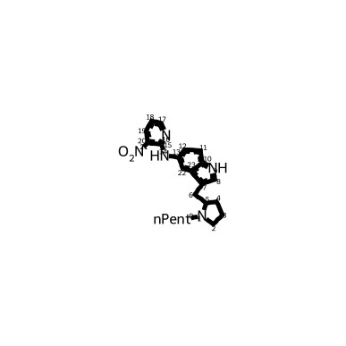 CCCCCN1CCCC1Cc1c[nH]c2ccc(Nc3ncccc3[N+](=O)[O-])cc12